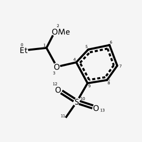 CCC(OC)Oc1ccc[c]c1S(C)(=O)=O